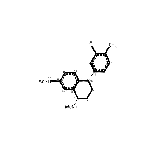 CN[C@H]1CC[C@@H](c2ccc(C)c(Cl)c2)c2ccc(NC(C)=O)cc21